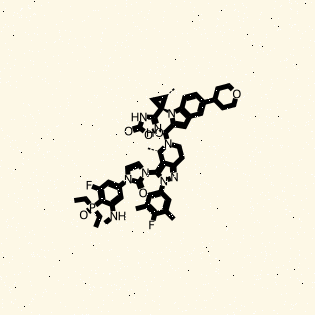 CCP(=O)(CC)c1c(F)cc(-n2ccn(-c3c4c(nn3-c3cc(C)c(F)c(C)c3)CCN(C(O)c3cc5cc(C6CCOCC6)ccc5n3[C@@]3(c5noc(=O)[nH]5)C[C@@H]3C)[C@H]4C)c2=O)cc1NC